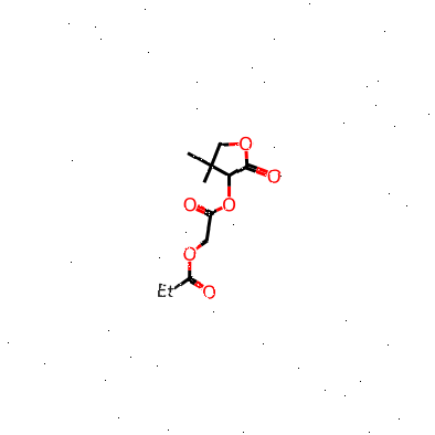 CCC(=O)OCC(=O)OC1C(=O)OCC1(C)C